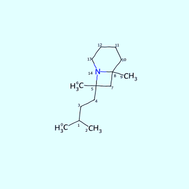 CC(C)CCC1(C)CC2(C)CCCCN21